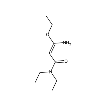 CCOC(N)=CC(=O)N(CC)CC